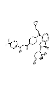 O=C1CCC(N2Cc3c(cccc3N(CCC3CC3)C3CCC(NCC(=O)N4CCC(F)(F)CC4)CC3)C2=O)C(=O)N1